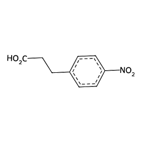 O=C(O)CCc1ccc([N+](=O)[O-])cc1